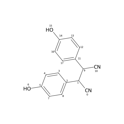 N#CC(c1ccc(O)cc1)C(C#N)c1ccc(O)cc1